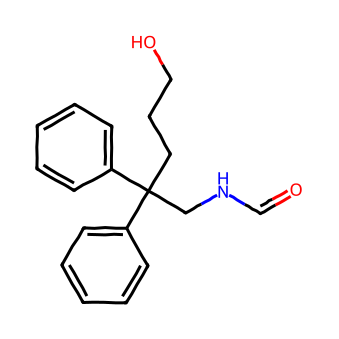 O=CNCC(CCCO)(c1ccccc1)c1ccccc1